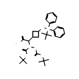 CC(C)(C)OC(=O)NN(C(=O)OC(C)(C)C)C(C(=O)O)C1CC(O[Si](c2ccccc2)(c2ccccc2)C(C)(C)C)C1